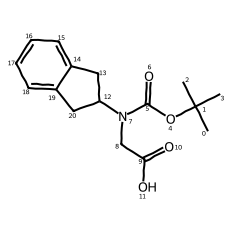 CC(C)(C)OC(=O)N(CC(=O)O)C1Cc2ccccc2C1